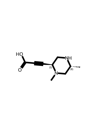 C[C@@H]1CN(C)[C@@H](C#CC(=O)O)CN1